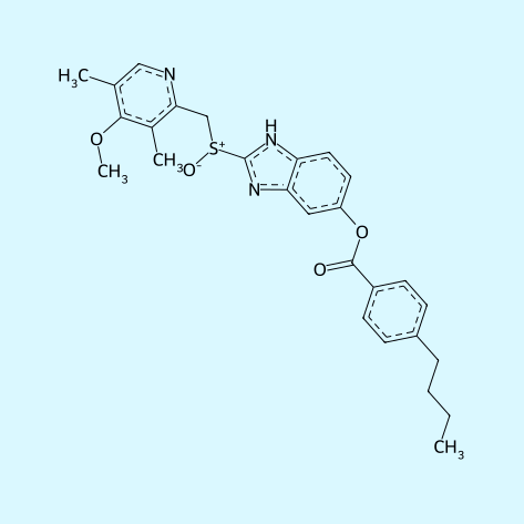 CCCCc1ccc(C(=O)Oc2ccc3[nH]c([S+]([O-])Cc4ncc(C)c(OC)c4C)nc3c2)cc1